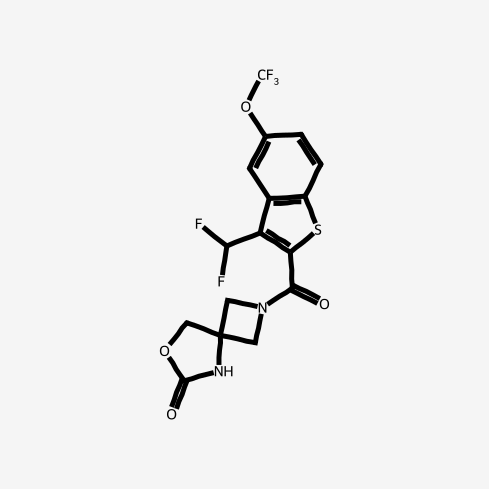 O=C1NC2(CO1)CN(C(=O)c1sc3ccc(OC(F)(F)F)cc3c1C(F)F)C2